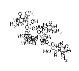 CO[C@H]1[C@@H](O)[C@H](n2c[n+](C)c3c(=O)[nH]c(N)nc32)O[C@@H]1COP(=O)(O)OP(=O)(O)OP(=O)(O)OC[C@H]1O[C@@H](n2cnc3c(=O)[nH]c(N)nc32)[C@H](F)[C@@H]1OP(=O)(O)OC[C@H]1O[C@@H](n2cnc3c(=O)[nH]c(N)nc32)[C@H](O)[C@@H]1O